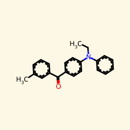 CCN(c1ccccc1)c1ccc(C(=O)c2cccc(C)c2)cc1